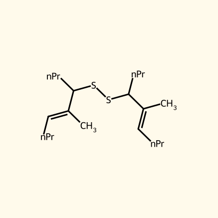 CCC/C=C(\C)C(CCC)SSC(CCC)/C(C)=C/CCC